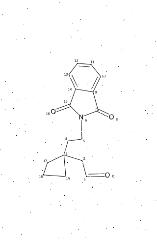 O=CCC1(CCN2C(=O)c3ccccc3C2=O)CCC1